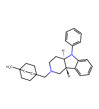 CC12CCC(CN3CC[C@@H]4[C@@H](C3)c3ccccc3N4c3ccccc3)(CC1)CC2